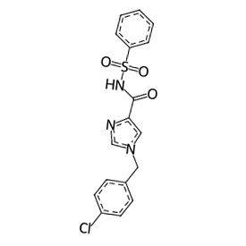 O=C(NS(=O)(=O)c1ccccc1)c1cn(Cc2ccc(Cl)cc2)cn1